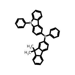 CC1(C)c2ccccc2-c2ccc(B(c3ccccc3)c3ccc4c(c3)c3ccccc3n4-c3ccccc3)cc21